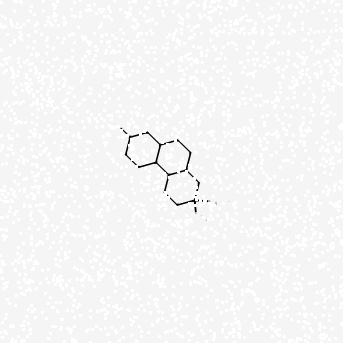 CCCCCC1(C#N)CCC2C(CCC3CC(CCC)CCC32)C1